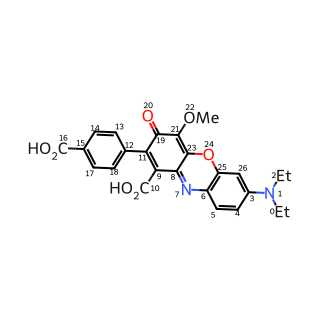 CCN(CC)c1ccc2nc3c(C(=O)O)c(-c4ccc(C(=O)O)cc4)c(=O)c(OC)c-3oc2c1